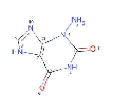 Nn1c(=O)[nH]c(=O)c2[nH]cnc21